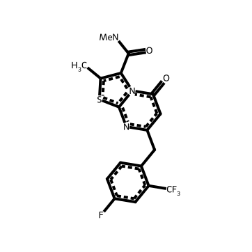 CNC(=O)c1c(C)sc2nc(Cc3ccc(F)cc3C(F)(F)F)cc(=O)n12